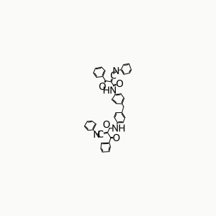 O=C(Nc1ccc(Cc2ccc(NC(=O)C(=C=Nc3ccccc3)C(=O)c3ccccc3)cc2)cc1)C(=C=Nc1ccccc1)C(=O)c1ccccc1